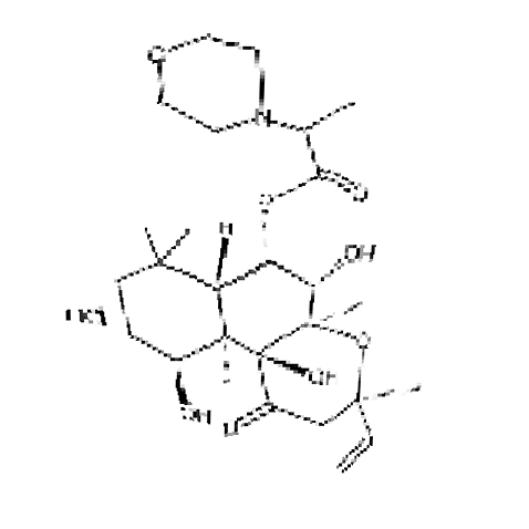 C=C[C@@]1(C)CC(=O)[C@]2(O)[C@@]3(C)[C@@H](O)CCC(C)(C)[C@@H]3[C@H](OC(=O)C(C)N3CCOCC3)[C@H](O)[C@@]2(C)O1.Cl